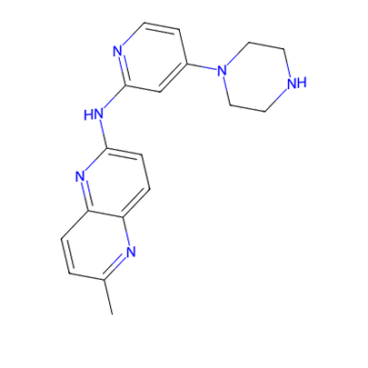 Cc1ccc2nc(Nc3cc(N4CCNCC4)ccn3)ccc2n1